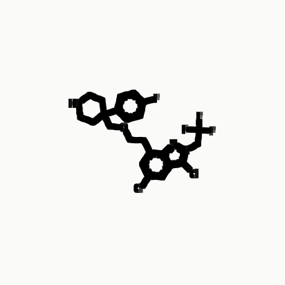 Fc1ccc(C2(COCCc3cc(Cl)cc4c(Cl)n(CC(F)(F)F)nc34)CCNCC2)cc1